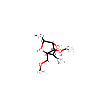 COCC12OC(C)C(OC1C)C2OC